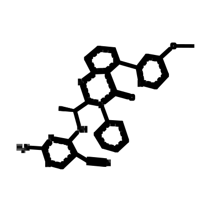 COc1ccnc(-c2cccc3nc([C@H](C)Nc4nc(N)ncc4C#N)n(-c4ccccc4)c(=O)c23)c1